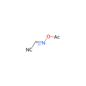 CC(=O)O/N=C/C#N